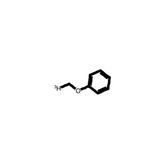 [3H]COc1ccccc1